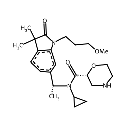 COCCCN1C(=O)C(C)(C)c2ccc([C@@H](C)N(C(=O)[C@H]3CNCCO3)C3CC3)cc21